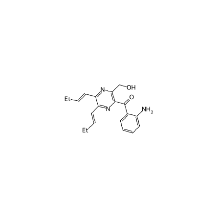 CC/C=C/c1nc(CO)c(C(=O)c2ccccc2N)nc1/C=C/CC